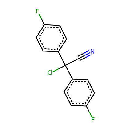 N#CC(Cl)(c1ccc(F)cc1)c1ccc(F)cc1